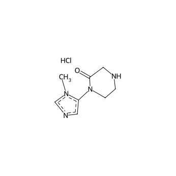 Cl.Cn1cncc1N1CCNCC1=O